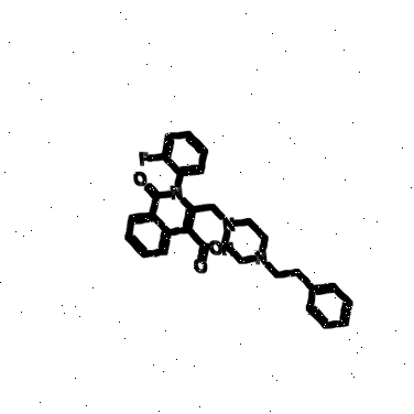 O=C(O)c1c(CN2CCN(CCc3ccccc3)CC2)n(-c2ccccc2F)c(=O)c2ccccc12